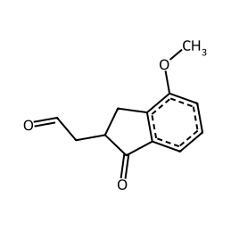 COc1cccc2c1CC(CC=O)C2=O